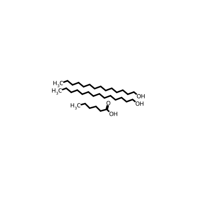 CCCCCC(=O)O.CCCCCCCCCCCCCCO.CCCCCCCCCCCCCCO